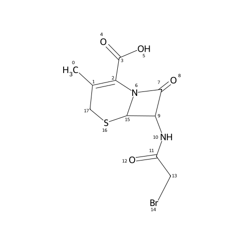 CC1=C(C(=O)O)N2C(=O)C(NC(=O)CBr)C2SC1